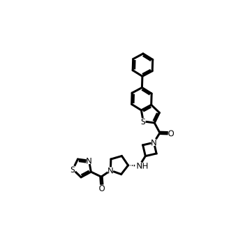 O=C(c1cscn1)N1CC[C@H](NC2CN(C(=O)c3cc4cc(-c5ccccc5)ccc4s3)C2)C1